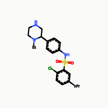 CCCc1ccc(Cl)c(S(=O)(=O)Nc2ccc(C3CNCCN3CC)cc2)c1